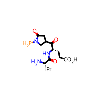 CC(C)[C@H](N)C(=O)N[C@@H](CCC(=O)O)C(=O)C1CC(=O)N(P)C1